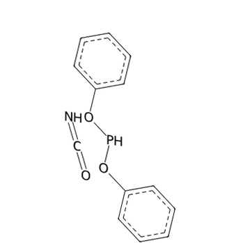 N=C=O.c1ccc(OPOc2ccccc2)cc1